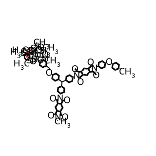 Cc1ccc(Oc2ccc(-n3c(=O)c4cc5c(=O)n(-c6ccc(C(c7ccc(OCc8ccc([Si]9%10O[Si]%11(C)O[Si]%12(C)O[Si]%13(C)O[Si](C)(O%11)O[Si](C)(O[Si](C)(O%13)O[Si](C)(O%12)O9)O%10)cc8)cc7)c7ccc(-n8c(=O)c9cc%10c(=O)n(C)c(=O)c%10cc9c8=O)cc7)cc6)c(=O)c5cc4c3=O)cc2)cc1